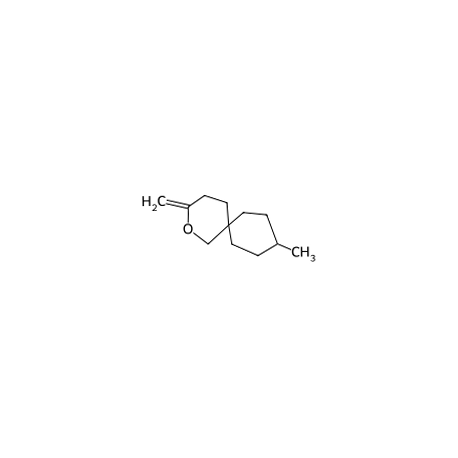 C=C1CCC2(CCC(C)CC2)CO1